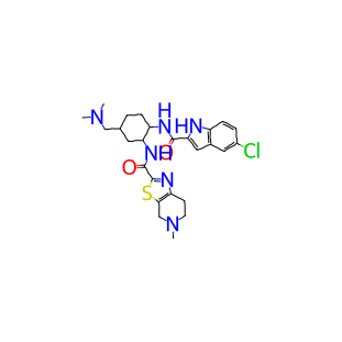 CN(C)CC1CCC(NC(=O)c2cc3cc(Cl)ccc3[nH]2)C(NC(=O)c2nc3c(s2)CN(C)CC3)C1